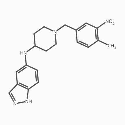 Cc1ccc(CN2CCC(Nc3ccc4[nH]ncc4c3)CC2)cc1[N+](=O)[O-]